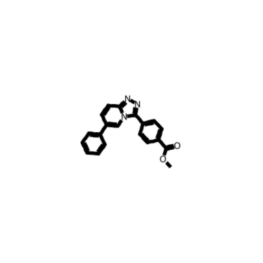 COC(=O)c1ccc(-c2nnc3ccc(-c4ccccc4)cn23)cc1